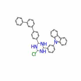 ClC1NC(c2ccc(-c3cccc(-c4ccccc4)c3)cc2)NC(c2cccc(-n3c4ccccc4c4ccccc43)c2)N1